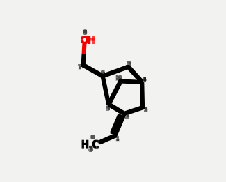 CC=C1CC2CC(CO)C1C2